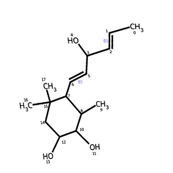 C/C=C/C(O)/C=C/C1C(C)C(O)C(O)CC1(C)C